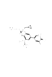 COc1nc2c(NS(C)(=O)=O)cc(-c3cc(C)c(=O)n(C)c3)cc2n1CC1CC1